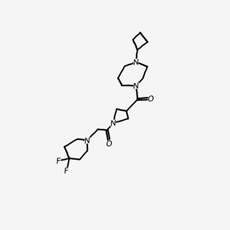 O=C(CN1CCC(F)(F)CC1)N1CC(C(=O)N2CCCN(C3CCC3)CC2)C1